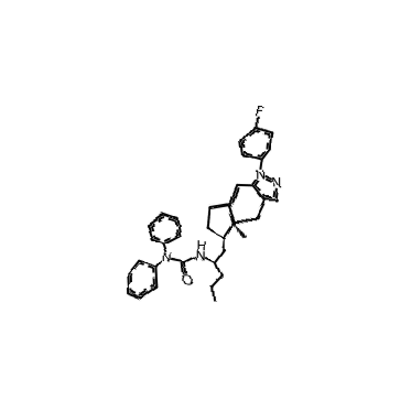 CCCC(C[C@H]1CCC2=Cc3c(cnn3-c3ccc(F)cc3)C[C@@]21C)NC(=O)N(c1ccccc1)c1ccccc1